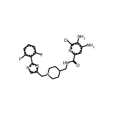 Nc1cc(C(=O)NCC2CCN(Cc3cnc(-c4c(F)cccc4F)s3)CC2)nc(Cl)c1N